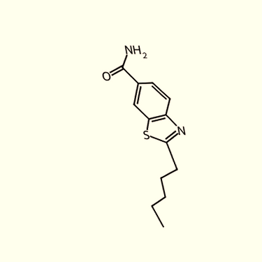 CCCCCc1nc2ccc(C(N)=O)cc2s1